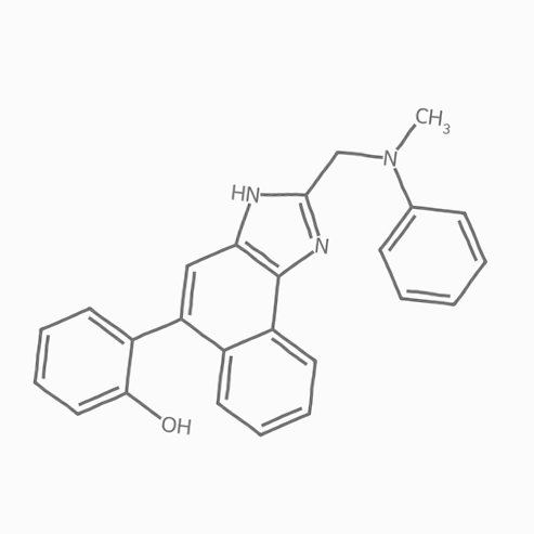 CN(Cc1nc2c(cc(-c3ccccc3O)c3ccccc32)[nH]1)c1ccccc1